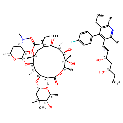 CCOC(=O)CCC(=O)O[C@H]1[C@H](O[C@@H]2[C@@H](C)[C@H](O[C@H]3C[C@@](C)(OC)[C@@H](O)[C@H](C)O3)[C@@H](C)C(=O)O[C@H](CC)[C@@](C)(O)[C@H](O)[C@@H](C)C(=O)[C@H](C)C[C@@]2(C)O)O[C@H](C)C[C@@H]1N(C)C.COCc1c(C(C)C)nc(C(C)C)c(/C=C/[C@@H](O)C[C@@H](O)CC(=O)O)c1-c1ccc(F)cc1